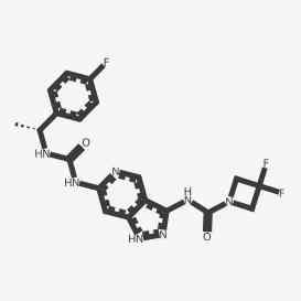 C[C@@H](NC(=O)Nc1cc2[nH]nc(NC(=O)N3CC(F)(F)C3)c2cn1)c1ccc(F)cc1